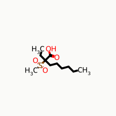 CCCCCCC(CC)(C(=O)O)S(C)(=O)=O